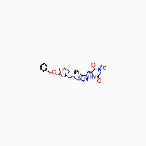 CC(=O)N1CC(=O)N/C(=C\c2ncn(CCCN3CCOC(COCc4ccccc4)C3)c2C(C)C)C1=O